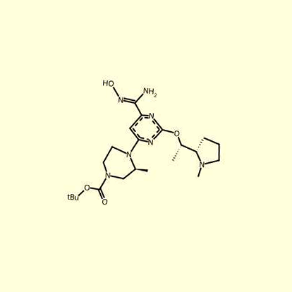 C[C@H](Oc1nc(/C(N)=N/O)cc(N2CCN(C(=O)OC(C)(C)C)C[C@@H]2C)n1)[C@@H]1CCCN1C